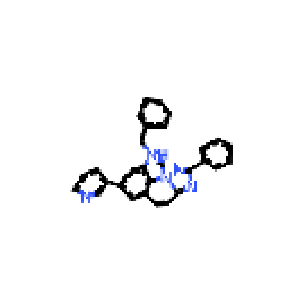 N#C[N+]12N=C(c3ccccc3)N=C1C=Cc1cc(-c3cccnc3)cc(NCc3ccccc3)c12